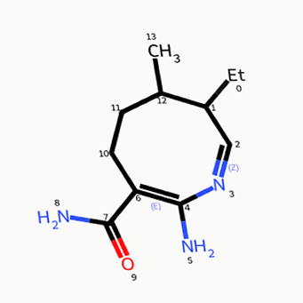 CCC1/C=N\C(N)=C(\C(N)=O)CCC1C